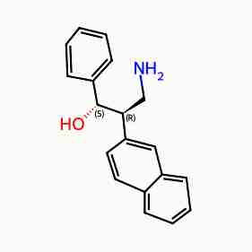 NC[C@@H](c1ccc2ccccc2c1)[C@H](O)c1ccccc1